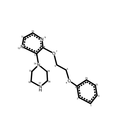 c1ccc(OCCOc2nccnc2N2CCNCC2)cc1